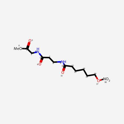 COC(=O)CNC(=O)CCNC(=O)CCCCCO[N+](=O)[O-]